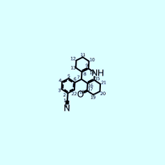 N#Cc1cccc(C2C3=C(CCCC3)NC3=C2C(=O)CCC3)c1